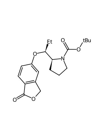 CC[C@H](Oc1ccc2c(c1)COC2=O)[C@@H]1CCCN1C(=O)OC(C)(C)C